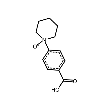 O=C(O)c1ccc([N+]2([O-])CCCCC2)cc1